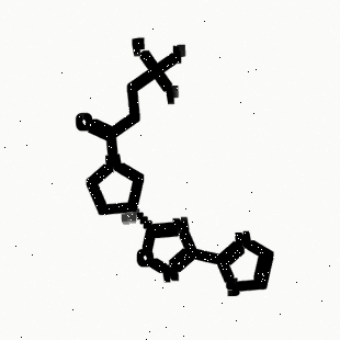 O=C(CCC(F)(F)F)N1CC[C@@H](c2nc(-c3nccs3)no2)C1